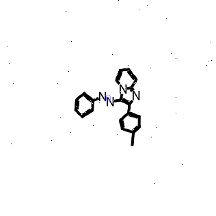 Cc1ccc(-c2nc3ccccn3c2/N=N/c2ccccc2)cc1